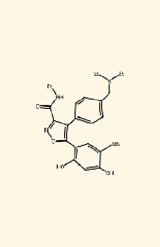 CCNC(=O)c1noc(-c2cc(C(C)(C)C)c(O)cc2O)c1-c1ccc(CN(CC)CC)cc1